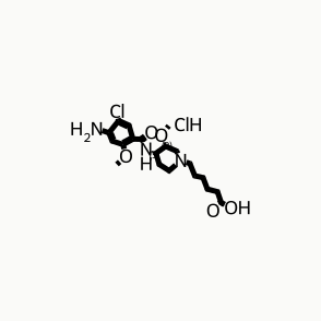 COc1cc(N)c(Cl)cc1C(=O)N[C@H]1CCN(CCCCCC(=O)O)C[C@H]1OC.Cl